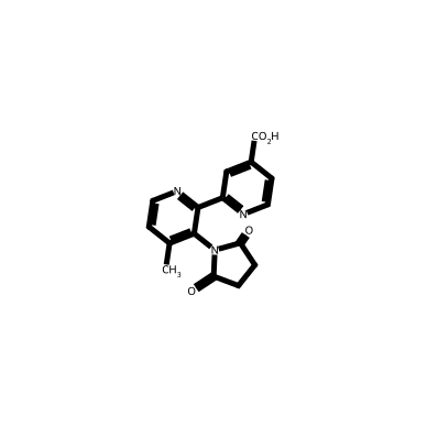 Cc1ccnc(-c2cc(C(=O)O)ccn2)c1N1C(=O)CCC1=O